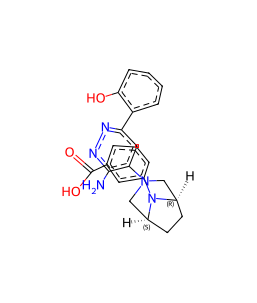 Nc1nnc(-c2ccccc2O)cc1N1C[C@H]2CC[C@@H](C1)N2c1cccc(C(=O)O)c1